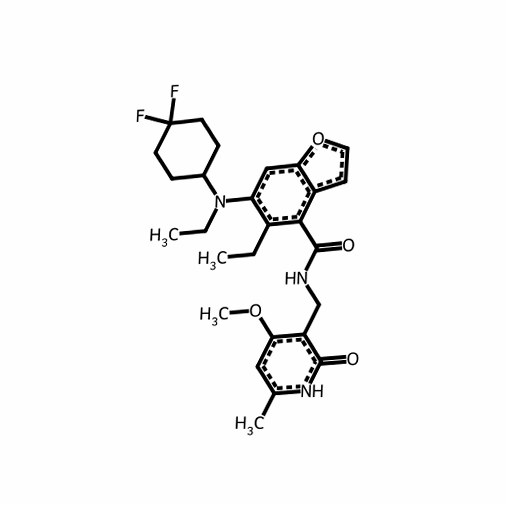 CCc1c(N(CC)C2CCC(F)(F)CC2)cc2occc2c1C(=O)NCc1c(OC)cc(C)[nH]c1=O